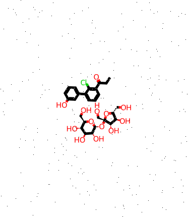 CCC(=O)c1cccc(-c2cccc(O)c2)c1Cl.OC[C@H]1O[C@@](CO)(O[C@H]2O[C@H](CO)[C@@H](O)[C@H](O)[C@H]2O)[C@@H](O)[C@@H]1O